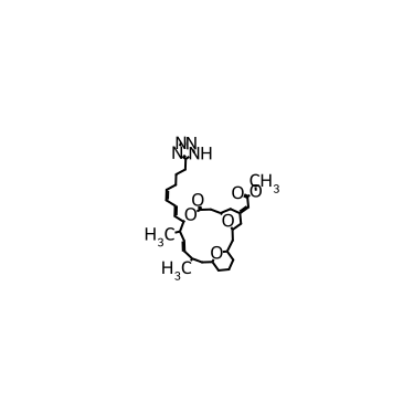 COC(=O)/C=C1\CC2CC(=O)OC(/C=C/C=C\CCCc3nnn[nH]3)C(C)/C=C/C(C)CC3CCCC(CC(C1)O2)O3